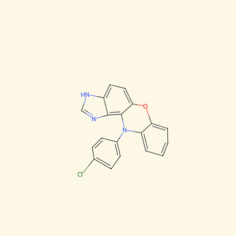 Clc1ccc(N2c3ccccc3Oc3ccc4[nH]cnc4c32)cc1